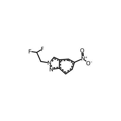 O=[N+]([O-])c1ccc2nn(CC(F)F)cc2c1